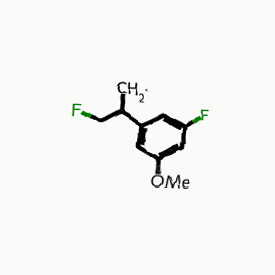 [CH2]C(CF)c1cc(F)cc(OC)c1